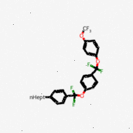 CCCCCCCc1ccc(C(F)(F)Oc2ccc(C(F)(F)Oc3ccc(OC(F)(F)F)cc3)cc2)cc1